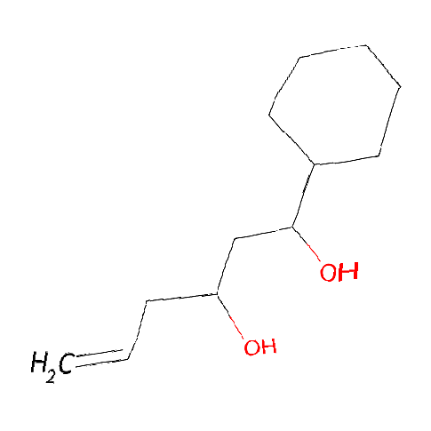 C=CCC(O)CC(O)C1CCCCC1